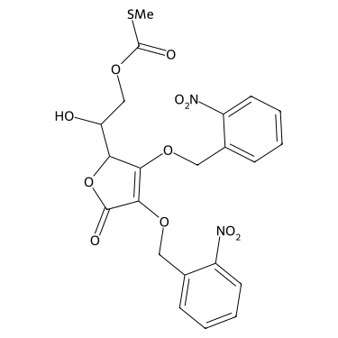 CSC(=O)OCC(O)C1OC(=O)C(OCc2ccccc2[N+](=O)[O-])=C1OCc1ccccc1[N+](=O)[O-]